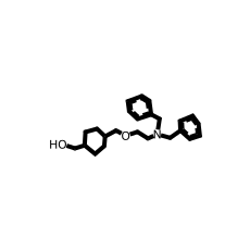 OCC1CCC(COCCN(Cc2ccccc2)Cc2ccccc2)CC1